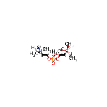 CO[Si](CCOP(=O)(O)OCC[N+](C)(C)C)(OC)OC